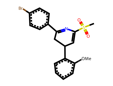 COc1ccccc1C1C=C(S(C)(=O)=O)N=C(c2ccc(Br)cc2)C1